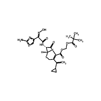 C=C(C1=C(C(=O)OCOC(=O)C(C)(C)C)N2C(=O)[C@@H](NC(=O)/C(=N\O)c3csc(N)n3)[C@H]2SC1)C1CC1